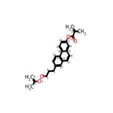 C=C(C)OOCCCc1ccc2c(ccc3cc(OC(=O)C(=C)C)ccc32)c1